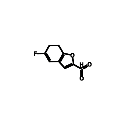 O=[SH](=O)c1cc2c(o1)CCC(F)=C2